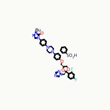 CCC(C)n1ncn(-c2ccc(N3CCN(c4ccc(OC[C@H]5CO[C@](Cn6cncn6)(c6ccc(F)cc6F)O5)cc4)CC3)cc2)c1=O.O=S(=O)(O)c1ccccc1